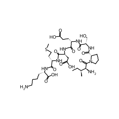 CC[C@H](C)[C@H](N)C(=O)N1CCC[C@H]1C(=O)N[C@@H](CO)C(=O)N[C@@H](CCC(=O)O)C(=O)N[C@@H](CC(=O)O)C(=O)N[C@@H](CCSC)C(=O)N[C@@H](CCCCN)C(=O)O